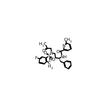 CC(=O)CN(C[C@@H](O)[C@H](Cc1ccccc1)NC(=O)c1cccc(C)n1)S(=O)(=O)c1cc(F)ccc1C